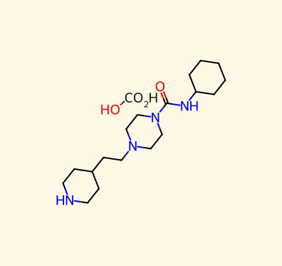 O=C(NC1CCCCC1)N1CCN(CCC2CCNCC2)CC1.O=C(O)O